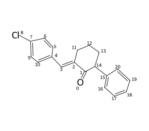 O=C1C(=Cc2ccc(Cl)cc2)CCCC1c1ccccc1